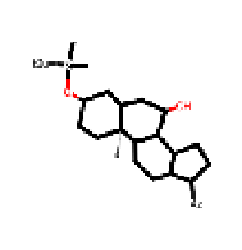 CC(=O)C1CCC2C1CCC1C2[C@H](O)CC2C[C@H](O[Si](C)(C)C(C)(C)C)CC[C@@]21C